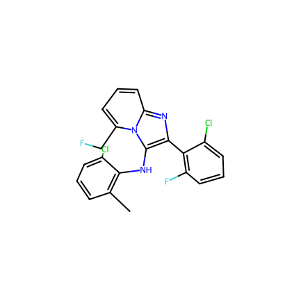 Cc1cccc(Cl)c1Nc1c(-c2c(F)cccc2Cl)nc2cccc(CF)n12